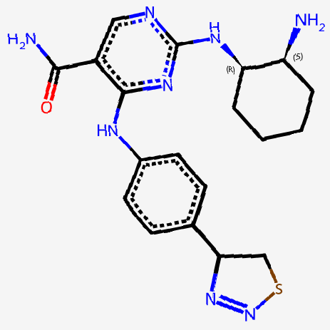 NC(=O)c1cnc(N[C@@H]2CCCC[C@@H]2N)nc1Nc1ccc(C2CSN=N2)cc1